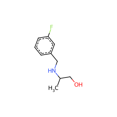 CC(CO)NCc1cccc(F)c1